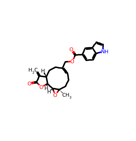 C=C1C(=O)O[C@H]2[C@H]1CC/C(COC(=O)c1ccc3[nH]ccc3c1)=C\CC[C@@]1(C)O[C@@H]21